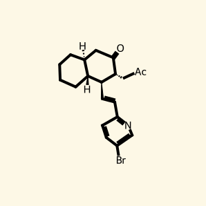 CC(=O)C[C@H]1C(=O)C[C@@H]2CCCC[C@H]2[C@@H]1/C=C/c1ccc(Br)cn1